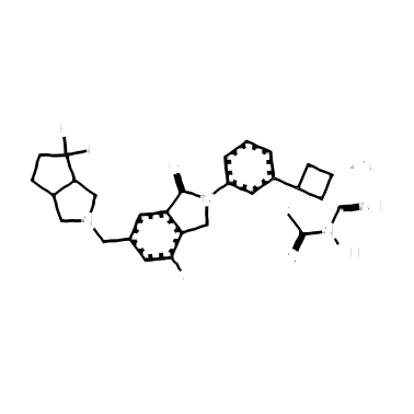 CN(C=N)C(=N)C[C@]1(c2cccc(N3Cc4c(cc(CN5CC6CCC(F)(F)C6C5)cc4C(F)(F)F)C3=O)c2)C[C@H](C#N)C1